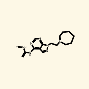 C=C(NCC)Nc1ncnc2c1cnn2CCN1CCCCCC1